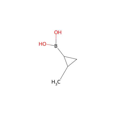 CC1CC1B(O)O